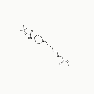 COC(=O)COCCCCCN1CCC(NC(=O)OC(C)(C)C)CC1